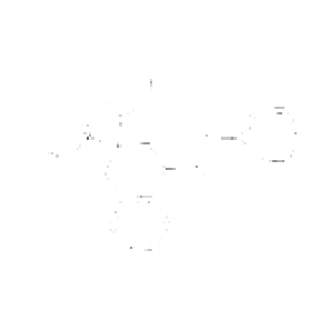 COC(=O)C1(C(=O)OC)Cc2ccccc2C(C(=O)Nc2ccccc2)C1